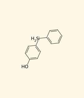 Oc1ccc([SiH2]c2ccccc2)cc1